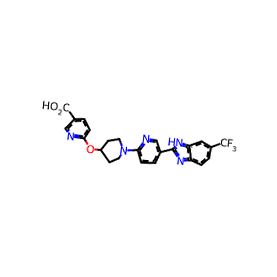 O=C(O)c1ccc(OC2CCN(c3ccc(-c4nc5ccc(C(F)(F)F)cc5[nH]4)cn3)CC2)nc1